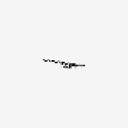 CCCCCCCCCCCCCCCCC.[NaH]